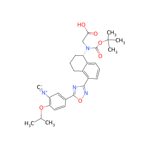 [C-]#[N+]c1cc(-c2nc(-c3cccc4c3CCC[C@@H]4N(CC(=O)O)C(=O)OC(C)(C)C)no2)ccc1OC(C)C